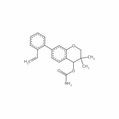 C=Cc1ccccc1-c1ccc2c(c1)OCC(C)(C)C2OC(N)=O